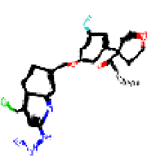 COC(=O)C1(c2cc(F)cc(OCc3ccc4c(Cl)cc(NN)nc4c3)c2)CCOCC1